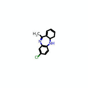 CC1=Nc2cc(Cl)ccc2NC2CC=CC=C12